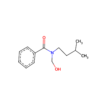 CC(C)CCN(CO)C(=O)c1ccccc1